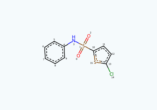 O=S(=O)(Nc1[c]cccc1)c1ccc(Cl)s1